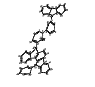 C1=CC(c2cccc(-n3c4ccccc4c4ccccc43)n2)NC(n2c3ccccc3c3c2ccc2c4ccccc4n(-c4ccccc4)c23)=C1